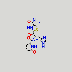 NC(=O)C1CSC(C(=O)C(Cc2c[nH]cn2)NC(=O)C2CCCC(=O)N2)N1